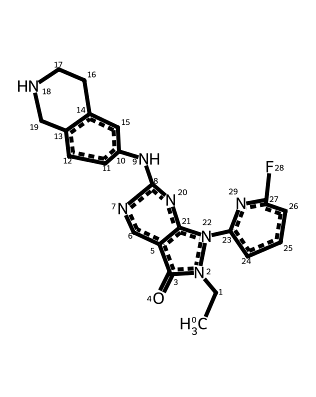 CCn1c(=O)c2cnc(Nc3ccc4c(c3)CCNC4)nc2n1-c1cccc(F)n1